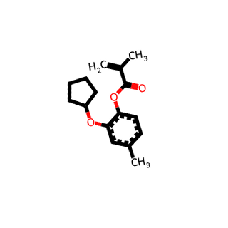 C=C(C)C(=O)Oc1ccc(C)cc1OC1CCCC1